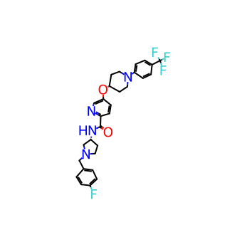 O=C(N[C@@H]1CCN(Cc2ccc(F)cc2)C1)c1ccc(OC2CCN(c3ccc(C(F)(F)F)cc3)CC2)cn1